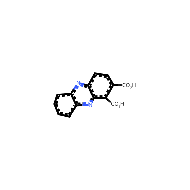 O=C(O)c1ccc2nc3ccccc3nc2c1C(=O)O